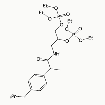 CCOP(=O)(OCC)OCC(CNC(=O)C(C)c1ccc(CC(C)C)cc1)OP(=O)(OCC)OCC